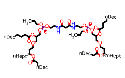 C=CCOP(=O)(OCCNC(=O)CC(=O)NCCOP(=O)(OCC=C)OCC(COCC[C@@H](CCCCCCC)OC(=O)CCCCCCCCCCC)OC(=O)CCCCCCCCCCCCC)OCC(COCC[C@@H](CCCCCCC)OC(=O)CCCCCCCCCCC)OC(=O)CCCCCCCCCCCCC